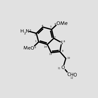 COc1c(N)cc(OC)c2sc(COC=O)cc12